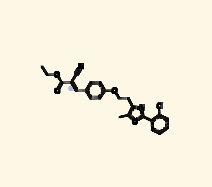 CCOC(=O)/C(C#N)=C/c1ccc(OCCc2nc(-c3ccccc3Cl)oc2C)cc1